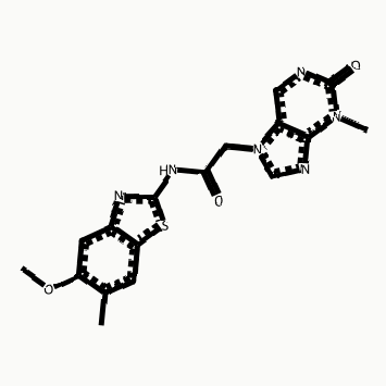 COc1cc2nc(NC(=O)Cn3cnc4c3cnc(=O)n4C)sc2cc1C